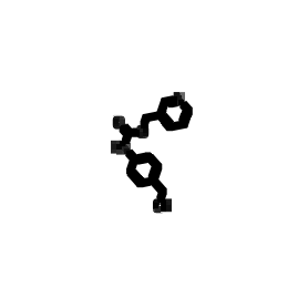 N#CCc1ccc(NC(=O)OCc2cccnc2)cc1